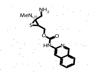 CN[C@@]1(CN)SC1COC(=O)Nc1cc2ccccc2cn1